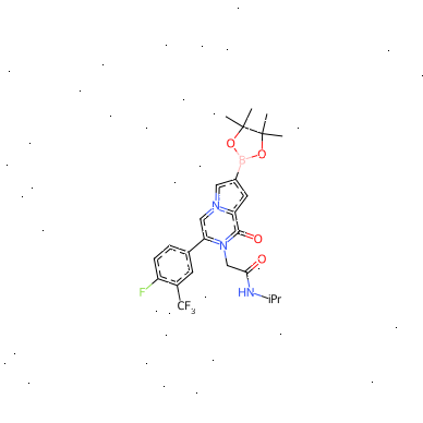 CC(C)NC(=O)Cn1c(-c2ccc(F)c(C(F)(F)F)c2)cn2cc(B3OC(C)(C)C(C)(C)O3)cc2c1=O